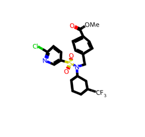 COC(=O)c1ccc(CN(C2CCCC(C(F)(F)F)C2)S(=O)(=O)c2ccc(Cl)nc2)cc1